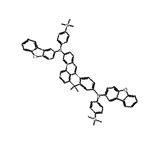 CC1(C)c2cc(N(c3ccc([Si](C)(C)C)cc3)c3ccc4oc5ccccc5c4c3)ccc2-c2cc3ccc(N(c4ccc([Si](C)(C)C)cc4)c4ccc5oc6ccccc6c5c4)cc3c3cccc1c23